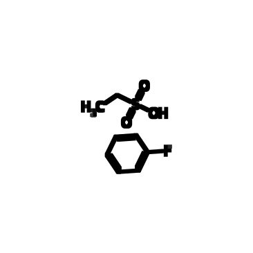 CCS(=O)(=O)O.Fc1ccccc1